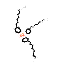 CCCCCCCCc1ccc(OP(=O)(Oc2ccc(CCCCCCCC)cc2)Oc2ccc(CCCCCCCC)cc2)cc1